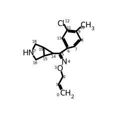 C=CCON=C(c1ccc(C)c(Cl)c1)C1C2CNCC21